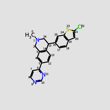 CN1Cc2cc(-c3ccncn3)ccc2C(c2ccc3cc(Cl)sc3c2)C1